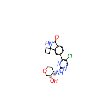 O=C1NC2(CCC2)c2cc(-c3nc(N[C@@H]4CCOC[C@H]4O)ncc3Cl)ccc21